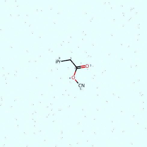 CC(C)CC(=O)OC#N